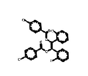 O=C(OC(=C(OC(=O)c1ccc(Cl)cc1)c1ccccc1Cl)c1ccccc1Cl)c1ccc(Cl)cc1